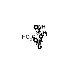 O=C(Nc1ccc(CC(=O)C(F)(OC2CCC(C(=O)O)CC2)N2CCCC2)cc1Cl)c1c[nH]c2ccccc12